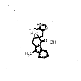 Cc1[nH]cnc1CC1(C)CCc2c(C)c3ccccc3n2C1=O.Cl